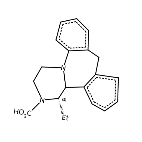 CC[C@H]1C2c3ccccc3Cc3ccccc3N2CCN1C(=O)O